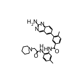 Cc1ccc(NC(=O)CN2CCCCC2)c(NC(=O)c2ccc(C)c(-c3ccc4nc(N)ncc4c3)c2)c1